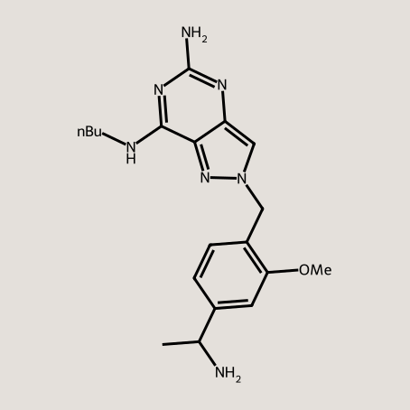 CCCCNc1nc(N)nc2cn(Cc3ccc(C(C)N)cc3OC)nc12